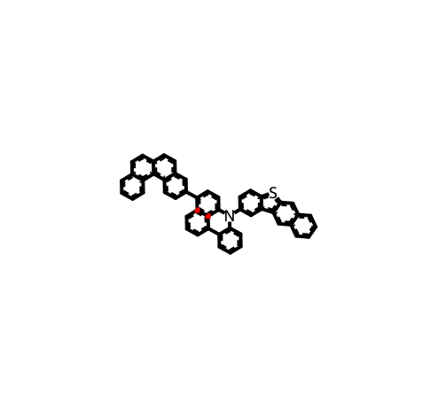 c1ccc(-c2ccccc2N(c2ccc(-c3ccc4c(ccc5ccc6ccccc6c54)c3)cc2)c2ccc3sc4cc5ccccc5cc4c3c2)cc1